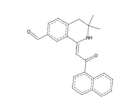 CC1(C)Cc2ccc(C=O)cc2C(=CC(=O)c2cccc3ccccc23)N1